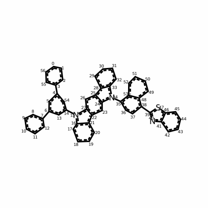 c1ccc(-c2cc(-c3ccccc3)cc(-n3c4ccccc4c4cc5c(cc43)c3ccccc3n5-c3ccc(-c4nc5ccccc5s4)c4ccccc34)c2)cc1